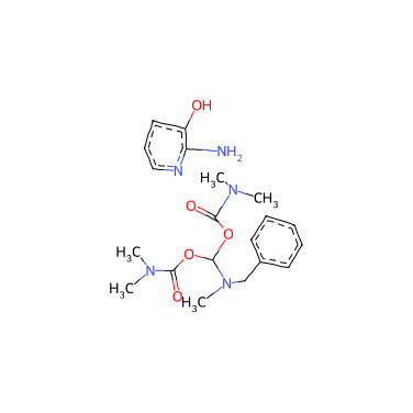 CN(C)C(=O)OC(OC(=O)N(C)C)N(C)Cc1ccccc1.Nc1ncccc1O